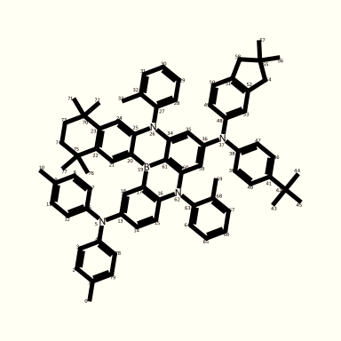 Cc1ccc(N(c2ccc(C)cc2)c2ccc3c(c2)B2c4cc5c(cc4N(c4ccccc4C)c4cc(N(c6ccc(C(C)(C)C)cc6)c6ccc7c(c6)CC(C)(C)C7)cc(c42)N3c2ccccc2C)C(C)(C)CCC5(C)C)cc1